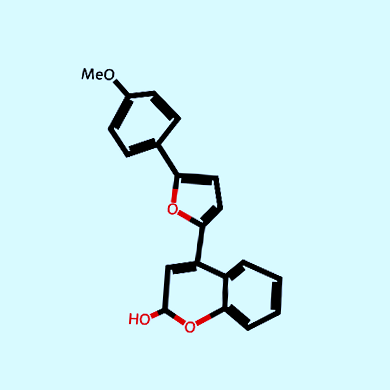 COc1ccc(-c2ccc(C3=CC(O)Oc4ccccc43)o2)cc1